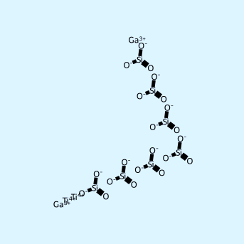 O=[Si]([O-])[O-].O=[Si]([O-])[O-].O=[Si]([O-])[O-].O=[Si]([O-])[O-].O=[Si]([O-])[O-].O=[Si]([O-])[O-].O=[Si]([O-])[O-].[Ga+3].[Ga+3].[Ti+4].[Ti+4]